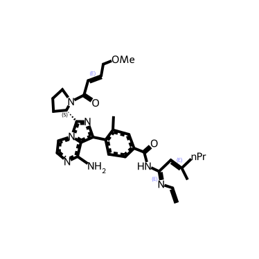 C=C/N=C(\C=C(/C)CCC)NC(=O)c1ccc(-c2nc([C@@H]3CCCN3C(=O)/C=C/COC)n3ccnc(N)c23)c(C)c1